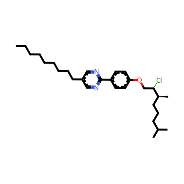 CCCCCCCCCc1cnc(-c2ccc(OC[C@H](Cl)[C@@H](C)CCCC(C)C)cc2)nc1